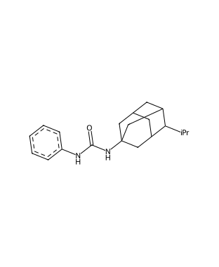 CC(C)C1C2CC3CC1CC(NC(=O)Nc1ccccc1)(C3)C2